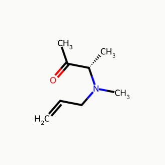 C=CCN(C)[C@@H](C)C(C)=O